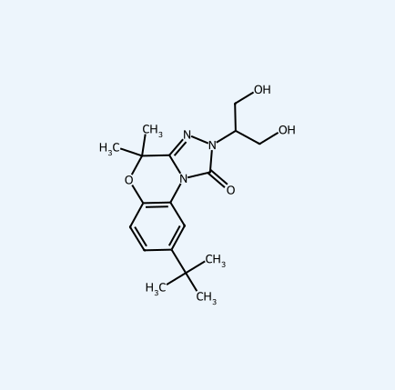 CC(C)(C)c1ccc2c(c1)-n1c(nn(C(CO)CO)c1=O)C(C)(C)O2